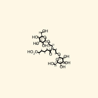 O=C(O)CCCCC(=O)N(CCO[C@H]1O[C@H](CO)[C@@H](O)[C@H](O)[C@@H]1O)CCO[C@H]1O[C@H](CO)[C@@H](O)[C@H](O)[C@@H]1O